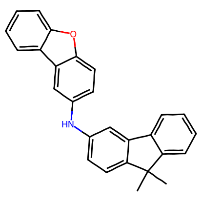 CC1(C)c2ccccc2-c2cc(Nc3ccc4oc5ccccc5c4c3)ccc21